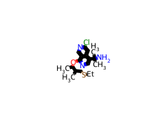 CCSCC(C)C(C)Oc1ncc(C(C)(C)N)c2cc(Cl)ncc12